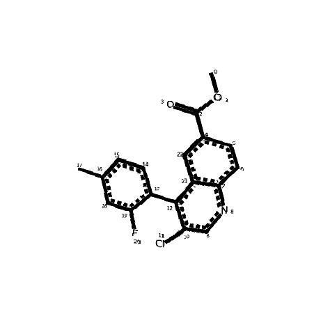 COC(=O)c1ccc2ncc(Cl)c(-c3ccc(C)cc3F)c2c1